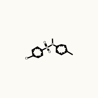 Cc1ccc(N(C)S(=O)(=O)c2ccc(Cl)cc2)cc1